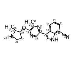 Cc1nc(-c2c[nH]c3c(C#N)cccc23)cnc1O[C@H]1CCN(I)[C@H]1C